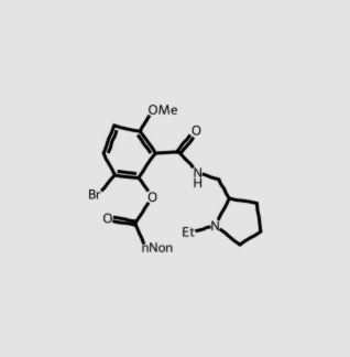 CCCCCCCCCC(=O)Oc1c(Br)ccc(OC)c1C(=O)NCC1CCCN1CC